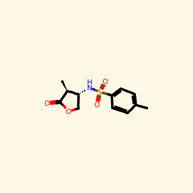 Cc1ccc(S(=O)(=O)N[C@@H]2COC(=O)[C@H]2C)cc1